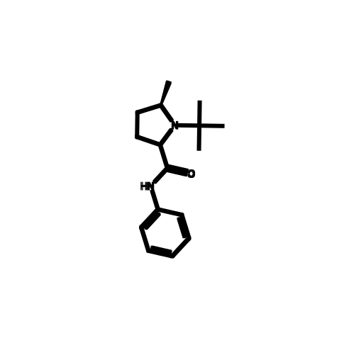 C[C@@H]1CCC(C(=O)Nc2ccccc2)N1C(C)(C)C